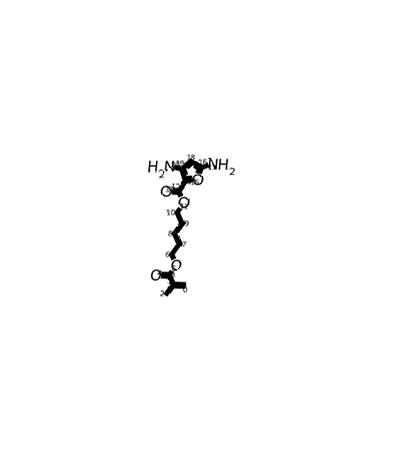 C=C(C)C(=O)OCCCCCOC(=O)c1oc(N)cc1N